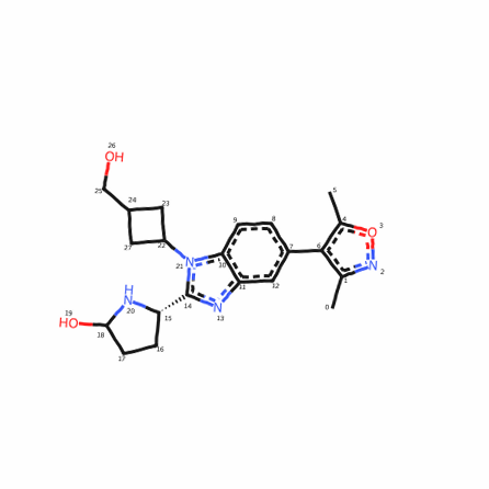 Cc1noc(C)c1-c1ccc2c(c1)nc([C@@H]1CCC(O)N1)n2C1CC(CO)C1